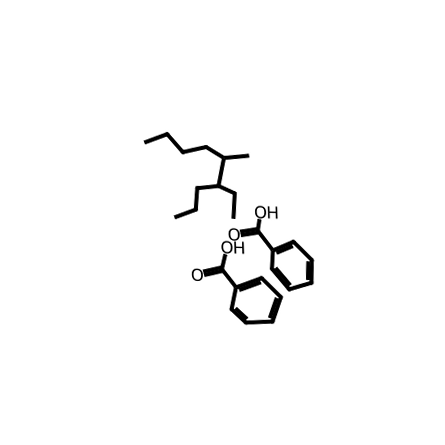 CCCCC(C)C(CC)CCC.O=C(O)c1ccccc1.O=C(O)c1ccccc1